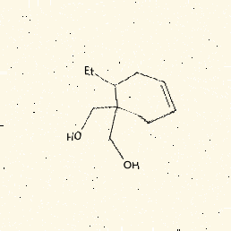 CCC1CC=CCC1(CO)CO